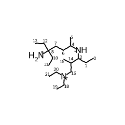 CCC(NC(C)CCC(N)(CC)CC)C(C)CN(CC)CC